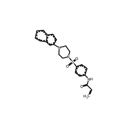 C=CC(=O)Nc1ccc(S(=O)(=O)N2CCN(c3ccc4ccccc4c3)CC2)cc1